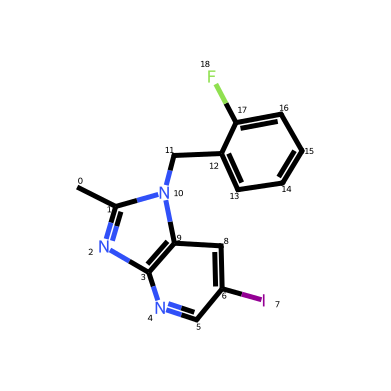 Cc1nc2ncc(I)cc2n1Cc1ccccc1F